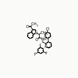 CC(=O)c1cn(C(C)C(=O)N[C@@H](Cc2cc(F)cc(F)c2)c2ncccc2-c2ccc(Cl)cc2)c2ccccc12